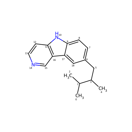 CC(C)C(C)Cc1ccc2[nH]c3ccncc3c2c1